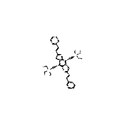 CC[Si](C#Cc1c2cc(C=Cc3ccccc3)sc2c(C#C[Si](CC)(CC)CC)c2cc(C=Cc3ccccc3)sc12)(CC)CC